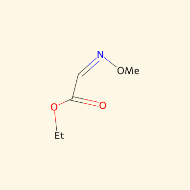 CCOC(=O)/C=N\OC